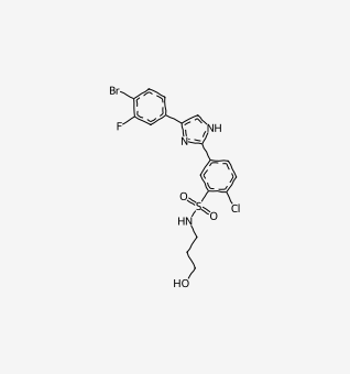 O=S(=O)(NCCCO)c1cc(-c2nc(-c3ccc(Br)c(F)c3)c[nH]2)ccc1Cl